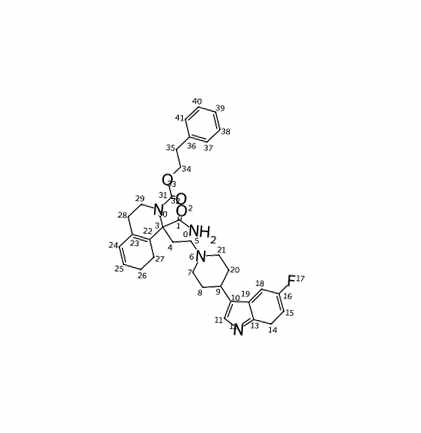 NC(=O)C1(CCN2CCC(C3=CN=C4CC=C(F)C=C34)CC2)C2=C(C=CCC2)CCN1C(=O)OCCc1ccccc1